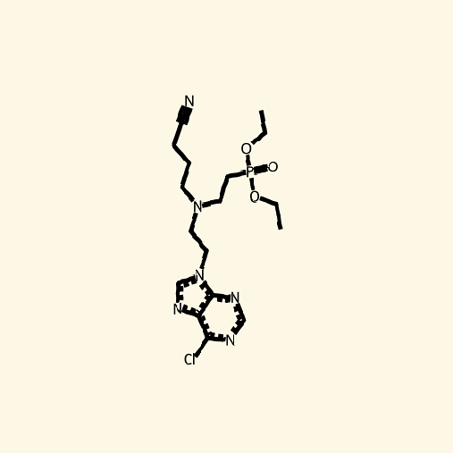 CCOP(=O)(CCN(CCCC#N)CCn1cnc2c(Cl)ncnc21)OCC